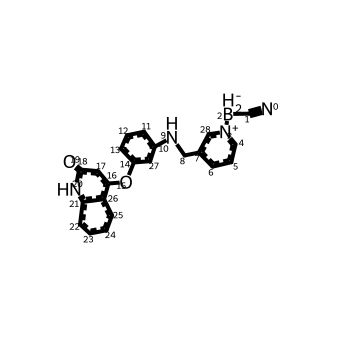 N#C[BH2-][n+]1cccc(CNc2cccc(Oc3cc(=O)[nH]c4ccccc34)c2)c1